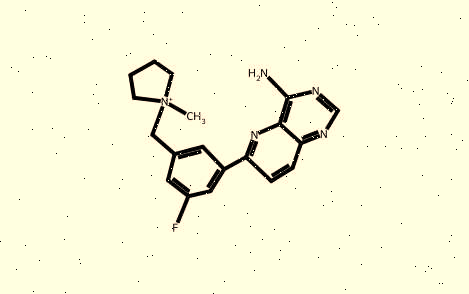 C[N+]1(Cc2cc(F)cc(-c3ccc4ncnc(N)c4n3)c2)CCCC1